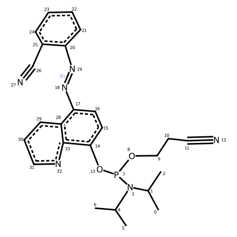 CC(C)N(C(C)C)P(OCCC#N)Oc1ccc(/N=N/c2ccccc2C#N)c2cccnc12